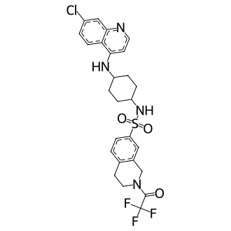 O=C(N1CCc2ccc(S(=O)(=O)NC3CCC(Nc4ccnc5cc(Cl)ccc45)CC3)cc2C1)C(F)(F)F